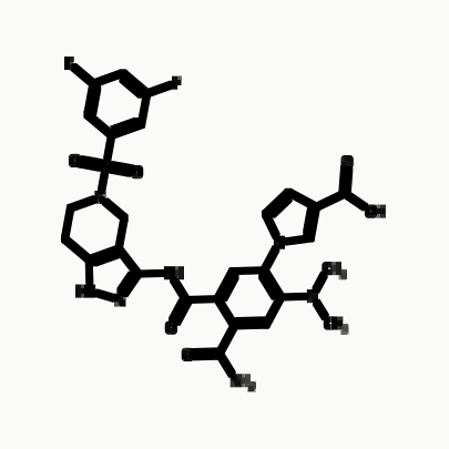 CN(C)c1cc(C(N)=O)c(C(=O)Nc2n[nH]c3c2CN(S(=O)(=O)c2cc(F)cc(F)c2)CC3)cc1-n1ccc(C(=O)O)c1